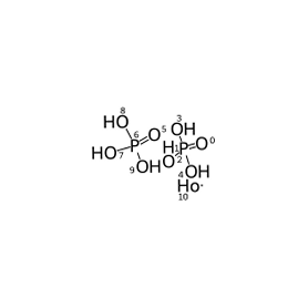 O=P(O)(O)O.O=P(O)(O)O.[Ho]